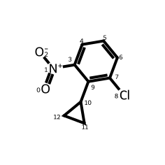 O=[N+]([O-])c1cccc(Cl)c1C1CC1